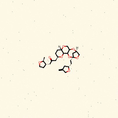 C=C1CO[C@@H](CC[C@]23C[C@H](CO2)OC2CO[C@H]4CC[C@H](CC(=O)C[C@@H]5CCO[C@H]5C)OC4C2O3)C1